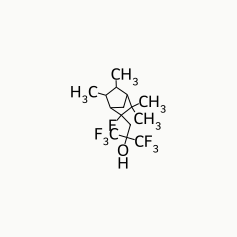 CC1C(C)C2CC1C(C)(C)C2(F)CC(O)(C(F)(F)F)C(F)(F)F